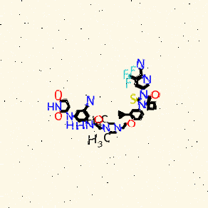 C[C@@H]1CN(CCOc2ccc(N3C(=S)N(c4cnc(C#N)c(C(F)(F)F)c4)C(=O)C34CCC4)cc2C2CC2)C[C@H](C)N1CC(=O)Nc1cc(C#N)cc(NC2CCC(=O)NC2=O)c1